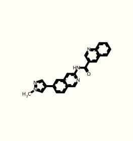 Cn1cc(-c2ccc3cnc(NC(=O)c4cnc5ccccc5c4)cc3c2)cn1